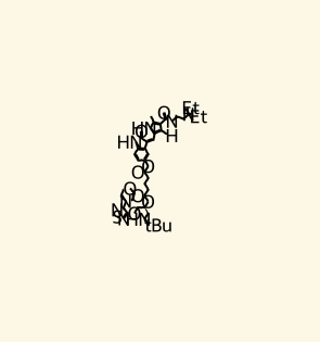 CCN(CC)CCNC(=O)c1c(C)[nH]c(/C=C2\C(=O)Nc3ccc(OC(=O)CCCC(=O)O[C@@H](CNC(C)(C)C)COc4nsnc4N4CCOCC4)cc32)c1C